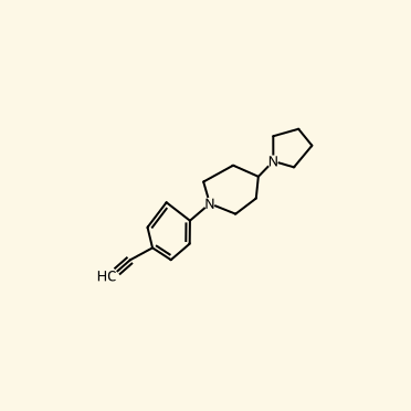 C#Cc1ccc(N2CCC(N3CCCC3)CC2)cc1